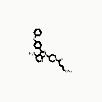 COCC=CC(=O)N1CCC(n2nc(-c3ccc(Oc4ccccc4)cc3)c3c(N)ncnc32)CC1